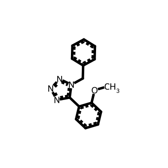 COc1ccccc1-c1nnnn1Cc1ccccc1